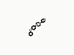 c1ccc(Oc2ccc(N3CCN(c4ccncc4)CC3)cc2)cc1